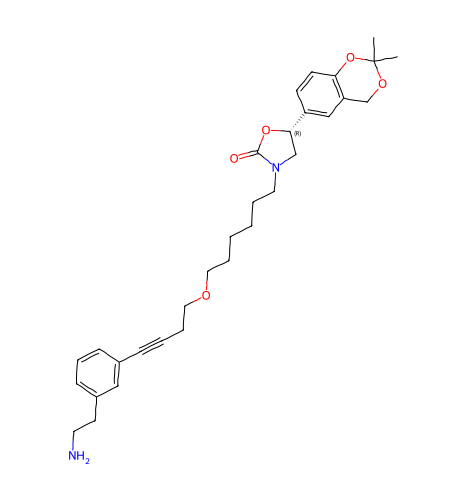 CC1(C)OCc2cc([C@@H]3CN(CCCCCCOCCC#Cc4cccc(CCN)c4)C(=O)O3)ccc2O1